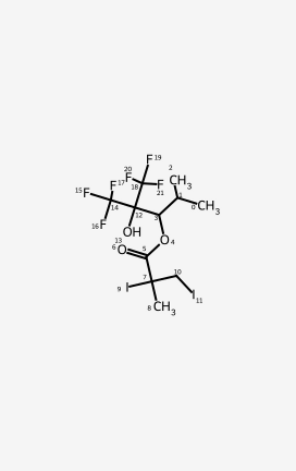 CC(C)C(OC(=O)C(C)(I)CI)C(O)(C(F)(F)F)C(F)(F)F